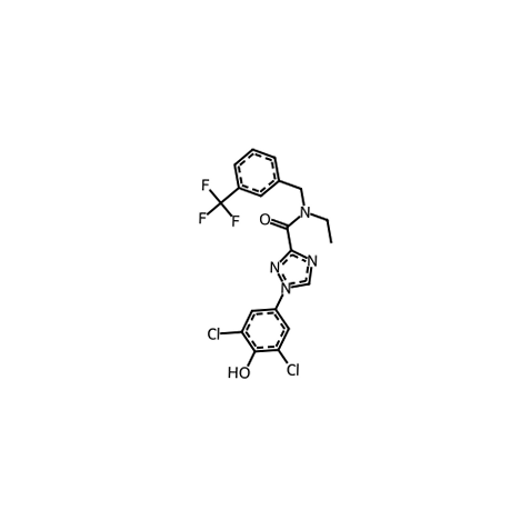 CCN(Cc1cccc(C(F)(F)F)c1)C(=O)c1ncn(-c2cc(Cl)c(O)c(Cl)c2)n1